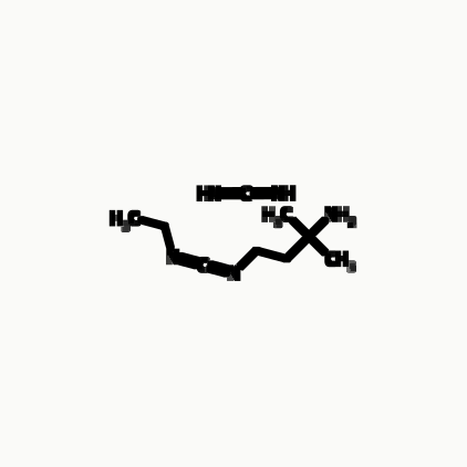 CCN=C=NCCC(C)(C)N.N=C=N